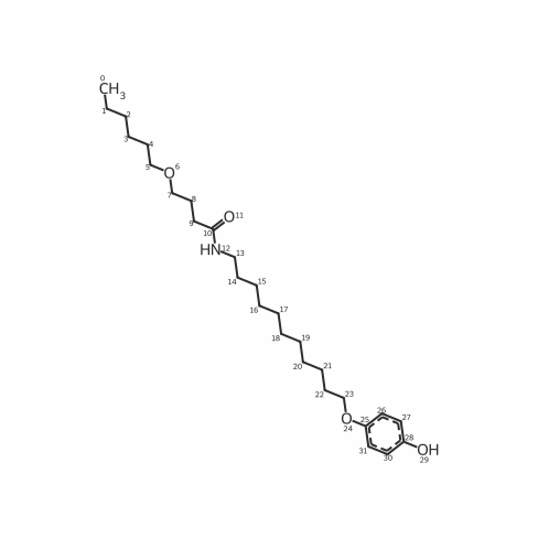 CCCCCCOCCCC(=O)NCCCCCCCCCCCOc1ccc(O)cc1